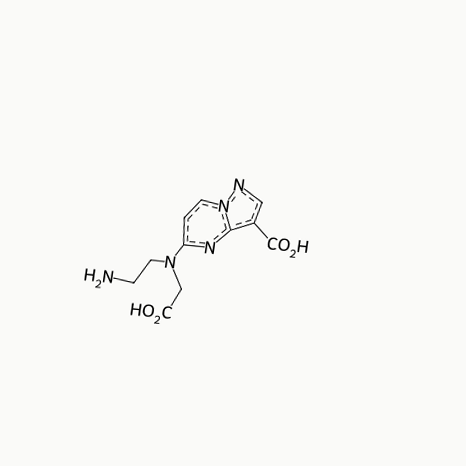 NCCN(CC(=O)O)c1ccn2ncc(C(=O)O)c2n1